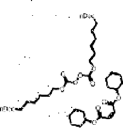 CCCCCCCCCCCCCCCCOC(=O)OOC(=O)OCCCCCCCCCCCCCCCC.O=C(/C=C\C(=O)OC1CCCCC1)OC1CCCCC1